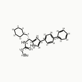 CC(C)(C)OC(=O)N[C@H](CC1CCCCC1)c1nc(-c2ccc(-c3ccccc3)cc2)c[nH]1